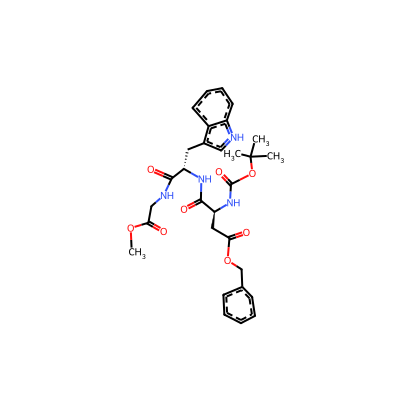 COC(=O)CNC(=O)[C@H](Cc1c[nH]c2ccccc12)NC(=O)[C@H](CC(=O)OCc1ccccc1)NC(=O)OC(C)(C)C